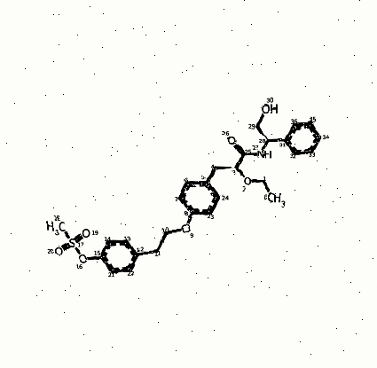 CCO[C@@H](Cc1ccc(OCCc2ccc(OS(C)(=O)=O)cc2)cc1)C(=O)N[C@@H](CO)c1ccccc1